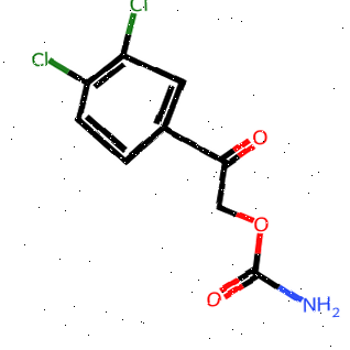 NC(=O)OCC(=O)c1ccc(Cl)c(Cl)c1